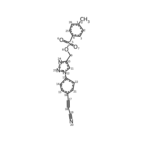 Cc1ccc(S(=O)(=O)OCc2cn(-c3ccc(C#CC#N)cc3)nn2)cc1